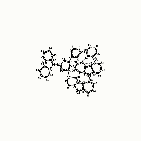 c1ccc(-c2nc(-c3ccc4oc5cccc(-n6c7ccccc7c7c(-c8ccccc8)cccc76)c5c4c3)nc(-n3c4ccccc4c4ccccc43)n2)cc1